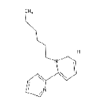 CCCCCCN1CC=CC=C1c1ccccn1.I